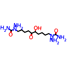 NC(=O)N(N)CCCCC(=O)C(O)CCCCN(N)C(N)=O